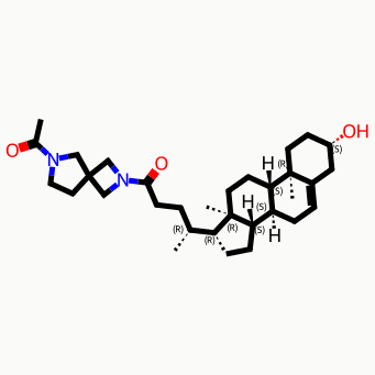 CC(=O)N1CCC2(C1)CN(C(=O)CC[C@@H](C)[C@H]1CC[C@H]3[C@@H]4CC=C5C[C@@H](O)CC[C@]5(C)[C@H]4CC[C@]13C)C2